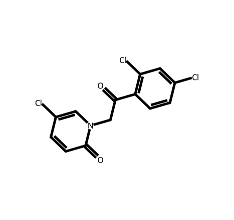 O=C(Cn1cc(Cl)ccc1=O)c1ccc(Cl)cc1Cl